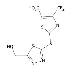 O=C(O)c1sc(Sc2nnc(CO)s2)nc1C(F)(F)F